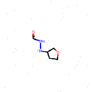 O=CNNC1CCOC1